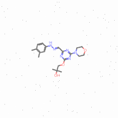 Cc1ccc(N/N=C/c2nc(OCC(C)(C)O)nc(N3CCOCC3)n2)cc1C